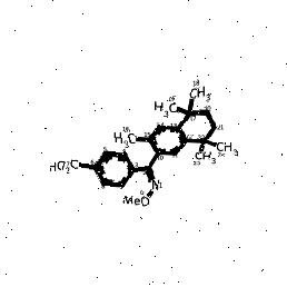 CON=C(c1ccc(C(=O)O)cc1)c1cc2c(cc1C)C(C)(C)CCC2(C)C